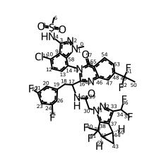 Cn1nc(NS(C)(=O)=O)c2c(Cl)ccc(-n3c(C(Cc4cc(F)cc(F)c4)NC(=O)Cn4nc(C(F)F)c5c4C(F)(F)[C@@H]4C[C@H]54)nc4cc(C(C)(F)F)ccc4c3=O)c21